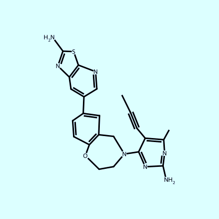 CC#Cc1c(C)nc(N)nc1N1CCOc2ccc(-c3cnc4sc(N)nc4c3)cc2C1